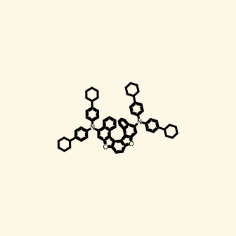 c1ccc2c(c1)c(N(c1ccc(C3CCCCC3)cc1)c1ccc(C3CCCCC3)cc1)cc1oc3ccc4oc5cc(N(c6ccc(C7CCCCC7)cc6)c6ccc(C7CCCCC7)cc6)c6ccccc6c5c4c3c12